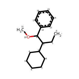 [CH2]CC(C1CCCCC1)C(OC)c1ccccc1